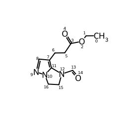 CCOC(=O)CCc1cnn2c1N(C=O)CC2